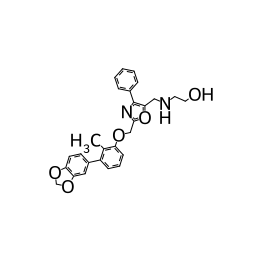 Cc1c(OCc2nc(-c3ccccc3)c(CNCCO)o2)cccc1-c1ccc2c(c1)OCO2